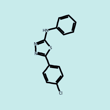 Clc1ccc(-c2nnc(Nc3ccccc3)s2)cc1